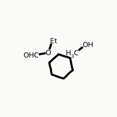 C1CCCCC1.CCOC=O.CO